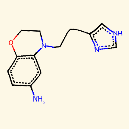 Nc1ccc2c(c1)N(CCc1c[nH]cn1)CCO2